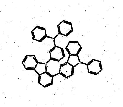 c1ccc(N(c2ccccc2)c2cccc(-n3c4ccccc4c4cccc(-c5ccc6c(c5)c5ccccc5n6-c5ccccc5)c43)c2)cc1